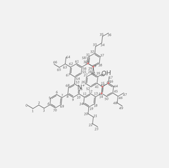 CCCCc1ccc(-c2cc(-c3cc(CCCC)cc(CCCC)c3)[n+](-c3cc(-c4ccc(CCCC)cc4)c(O)c(-c4ccc(C(C)CC)cc4)c3)c(-c3cc(C(C)CC)cc(C(C)CC)c3)c2)cc1